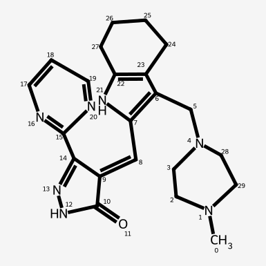 CN1CCN(Cc2c(/C=C3/C(=O)NN=C3c3ncccn3)[nH]c3c2CCCC3)CC1